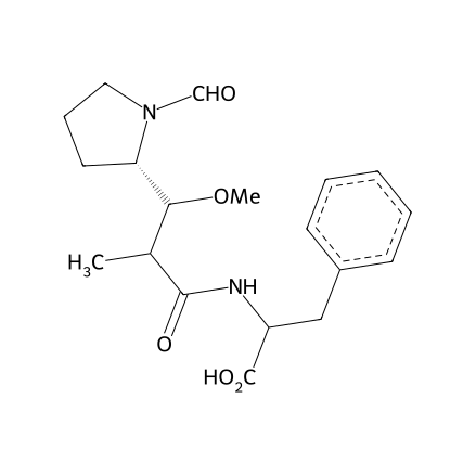 COC(C(C)C(=O)NC(Cc1ccccc1)C(=O)O)[C@@H]1CCCN1C=O